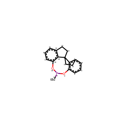 CC(C)(C)P1Oc2cccc3c2C2(CC3)CCc3cccc(c32)O1